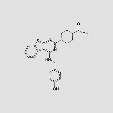 O=C(O)C1CCC(c2nc(NCc3ccc(O)cc3)c3c(n2)sc2ccccc23)CC1